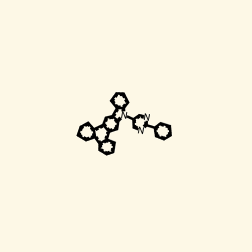 c1ccc(-c2ncc(-n3c4ccccc4c4cc5c6ccccc6c6ccccc6c5cc43)cn2)cc1